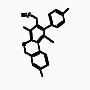 Cc1ccc(-c2c(C)c3c(c(C)c2CC(=O)O)OCc2cc(C)ccc2-3)cc1